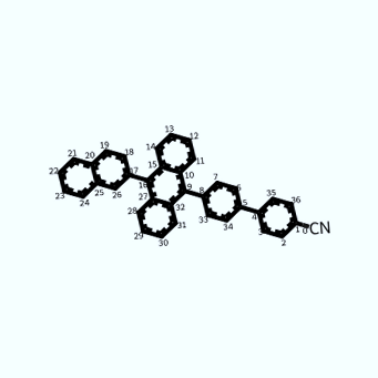 N#Cc1ccc(-c2ccc(-c3c4ccccc4c(-c4ccc5ccccc5c4)c4ccccc34)cc2)cc1